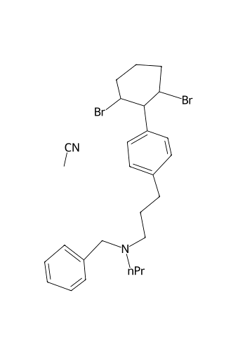 CC#N.CCCN(CCCc1ccc(C2C(Br)CCCC2Br)cc1)Cc1ccccc1